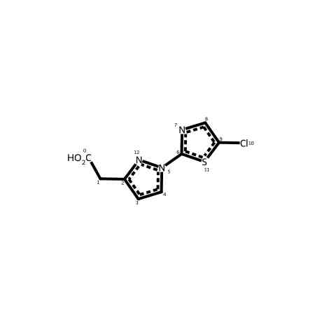 O=C(O)Cc1ccn(-c2ncc(Cl)s2)n1